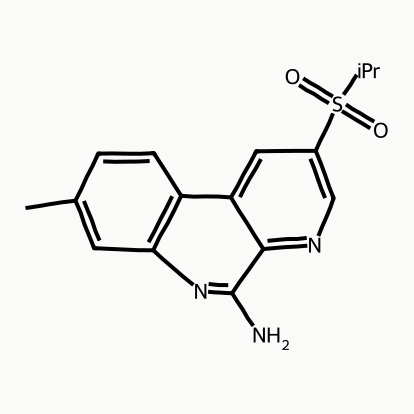 Cc1ccc2c(c1)nc(N)c1ncc(S(=O)(=O)C(C)C)cc12